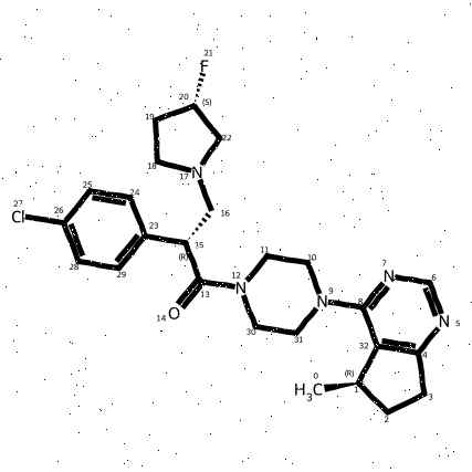 C[C@@H]1CCc2ncnc(N3CCN(C(=O)[C@@H](CN4CC[C@H](F)C4)c4ccc(Cl)cc4)CC3)c21